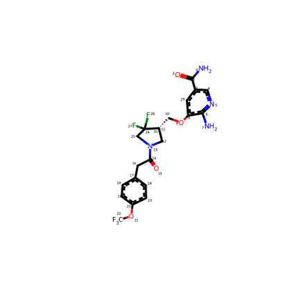 NC(=O)c1cnc(N)c(OC[C@@H]2CN(C(=O)Cc3ccc(OC(F)(F)F)cc3)CC2(F)F)c1